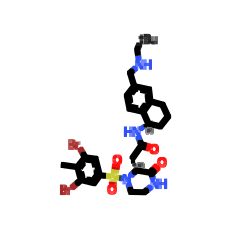 Cc1c(Br)cc(S(=O)(=O)N2CCNC(=O)[C@H]2CC(=O)N[C@@H]2CCCc3cc(CNCC(C)(C)C)ccc32)cc1Br